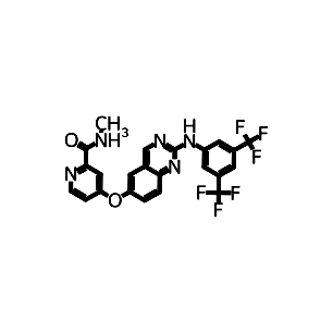 CNC(=O)c1cc(Oc2ccc3nc(Nc4cc(C(F)(F)F)cc(C(F)(F)F)c4)ncc3c2)ccn1